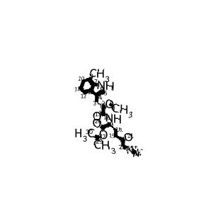 CO[C@@H](Cc1c[nH]c2c(C)cccc12)C(=O)N[C@@H](CCC(=O)C=[N+]=[N-])C(=O)OC(C)C